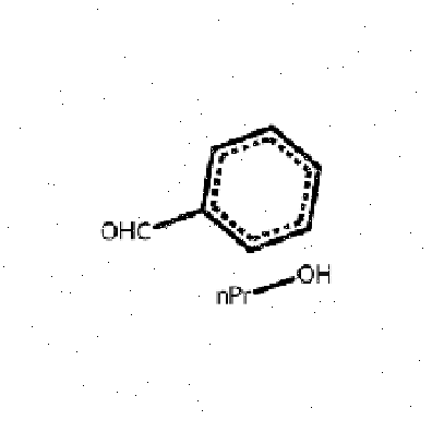 CCCO.O=Cc1ccccc1